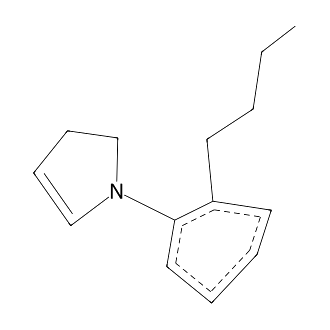 CCCCc1ccccc1N1C=CCC1